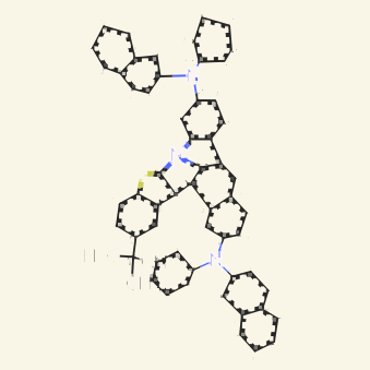 CC(C)(C)c1ccc2sc3c(c2c1)c1c2cc(N(c4ccccc4)c4ccc5ccccc5c4)ccc2cc2c4ccc(N(c5ccccc5)c5ccc6ccccc6c5)cc4n3c21